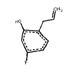 C=CCc1ccc(F)cc1O